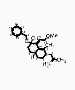 C=C(C)C[C@H]1CC[C@H]2CC[C@](C)(OCc3ccccc3)/C(=C/COC)C2=C1C